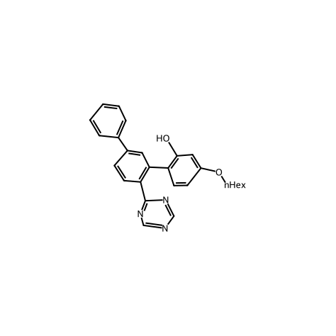 CCCCCCOc1ccc(-c2cc(-c3ccccc3)ccc2-c2ncncn2)c(O)c1